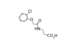 O=C(O)CCNC(=O)COc1ccccc1Cl